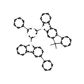 CC1(C)c2ccccc2-c2cc3c4ccccc4n(-c4nc(-c5ccccc5)nc(-n5c6ccccc6c6cc(-c7ccccc7)ccc65)n4)c3cc21